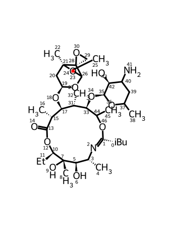 CC[C@@H](C)/C1=N\[C@H](C)[C@@H](O)[C@](C)(O)[C@@H](CC)OC(=O)[C@H](C)[C@@H](O[C@H]2C[C@]3(C)OC(C)C(O2)[C@@]32CO2)[C@H](C)[C@@H](O[C@@H]2OC(C)CC(N)[C@@H]2O)C(C)O1